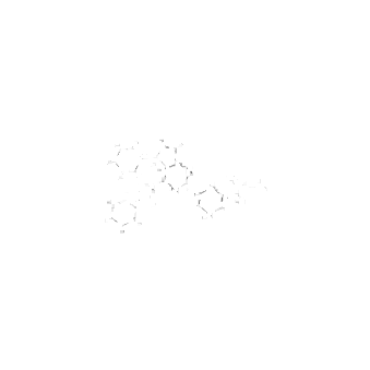 CS(=O)(=O)c1cncc(-c2nc(NCc3ccccc3)c3c(-c4ccccc4)ccn3n2)n1